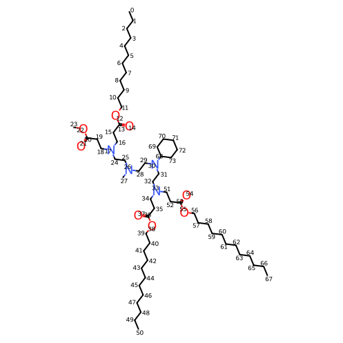 CCCCCCCCCCCCOC(=O)CCN(CCC(=O)OC)CCN(C)CCN(CCN(CCC(=O)OCCCCCCCCCCCC)CCC(=O)OCCCCCCCCCCCC)C1CCCCC1